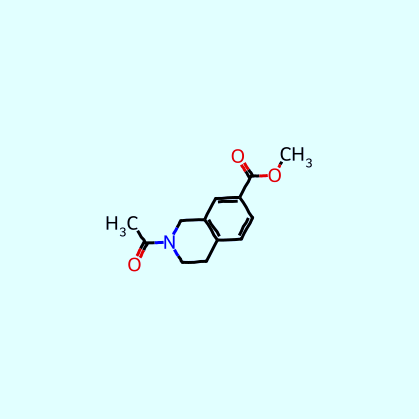 COC(=O)c1ccc2c(c1)CN(C(C)=O)CC2